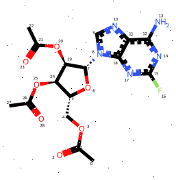 CC(=O)OC[C@H]1O[C@@H](n2cnc3c(N)nc(F)nc32)[C@H](OC(C)=O)[C@@H]1OC(C)=O